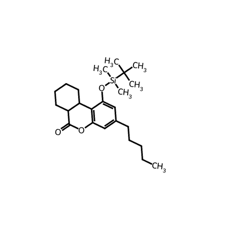 CCCCCc1cc2c(c(O[Si](C)(C)C(C)(C)C)c1)C1CCCCC1C(=O)O2